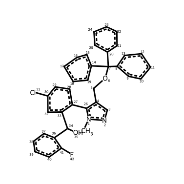 Cn1ncc(COC(c2ccccc2)(c2ccccc2)c2ccccc2)c1-c1ccc(Cl)cc1C(O)c1ccccc1F